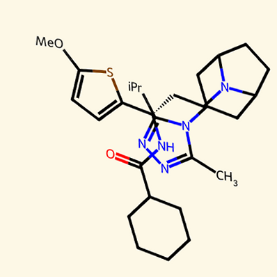 COc1ccc([C@H](CCN2C3CCC2CC(n2c(C)nnc2C(C)C)C3)NC(=O)C2CCCCC2)s1